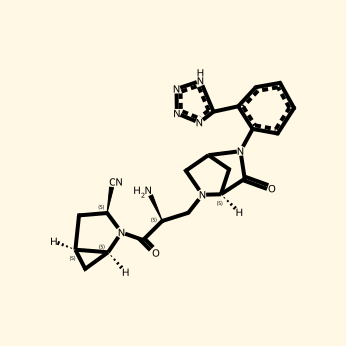 N#C[C@@H]1C[C@@H]2C[C@@H]2N1C(=O)[C@@H](N)CN1CC2C[C@H]1C(=O)N2c1ccccc1-c1nnn[nH]1